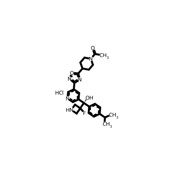 CC(=O)N1CCC(c2nc(-c3cncc([C@@](O)(c4ccc(C(C)C)cc4)C4(F)CNC4)c3)no2)CC1.Cl